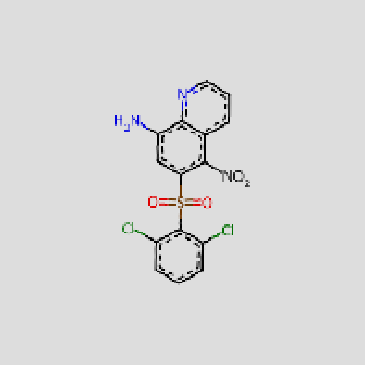 Nc1cc(S(=O)(=O)c2c(Cl)cccc2Cl)c([N+](=O)[O-])c2cccnc12